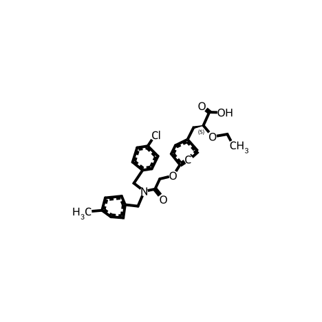 CCO[C@@H](Cc1ccc(OCC(=O)N(Cc2ccc(C)cc2)Cc2ccc(Cl)cc2)cc1)C(=O)O